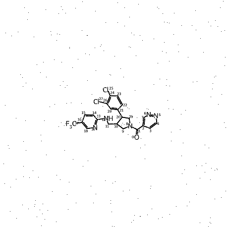 O=C(c1ccnnc1)N1CC(CNc2ccc(C(F)(F)F)cn2)C(c2ccc(Cl)c(Cl)c2)C1